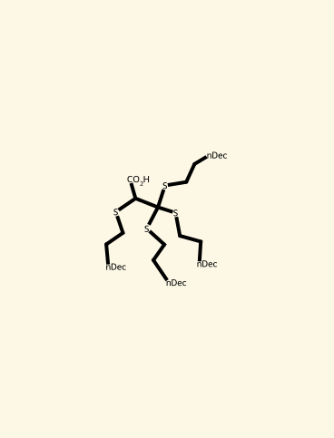 CCCCCCCCCCCCSC(C(=O)O)C(SCCCCCCCCCCCC)(SCCCCCCCCCCCC)SCCCCCCCCCCCC